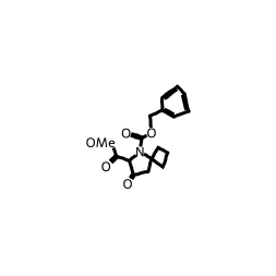 COC(=O)C1C(=O)CC2(CCC2)N1C(=O)OCc1ccccc1